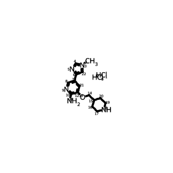 Cl.Cl.Cn1cnc(-c2cnc(N)c(OCC3CCNCC3)c2)c1